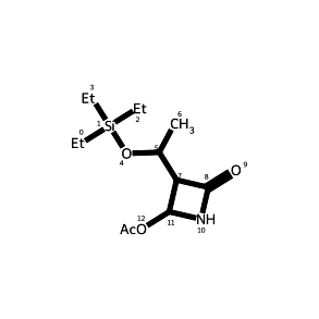 CC[Si](CC)(CC)OC(C)C1C(=O)NC1OC(C)=O